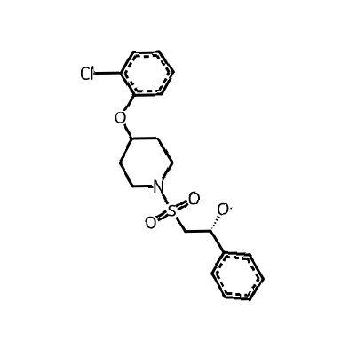 [O][C@@H](CS(=O)(=O)N1CCC(Oc2ccccc2Cl)CC1)c1ccccc1